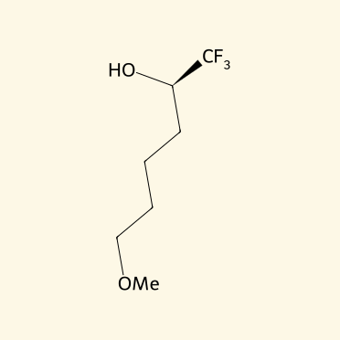 COCCCC[C@@H](O)C(F)(F)F